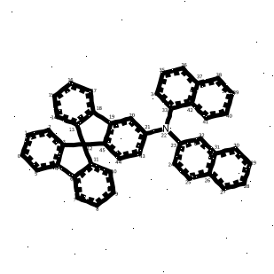 c1ccc2c(c1)-c1ccccc1C21c2ccccc2-c2cc(N(c3ccc4ccccc4c3)c3cccc4ccccc34)ccc21